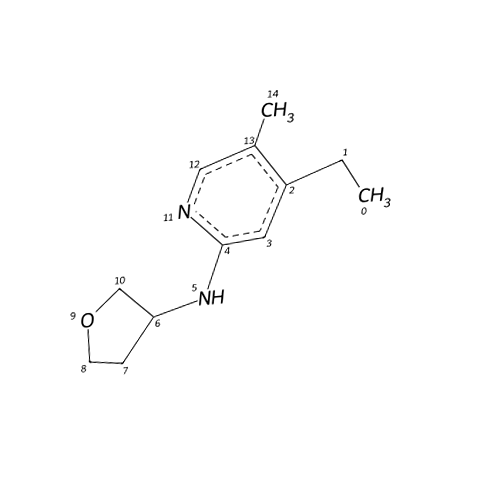 CCc1cc(NC2CCOC2)ncc1C